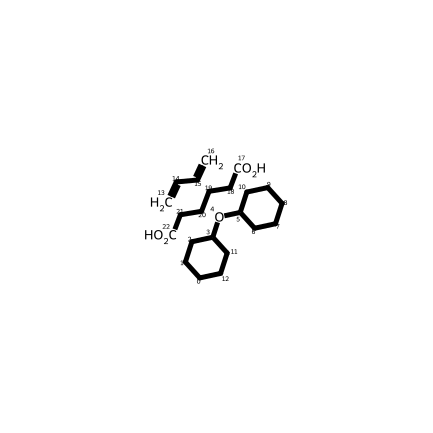 C1CCC(OC2CCCCC2)CC1.C=CC=C.O=C(O)CCCCC(=O)O